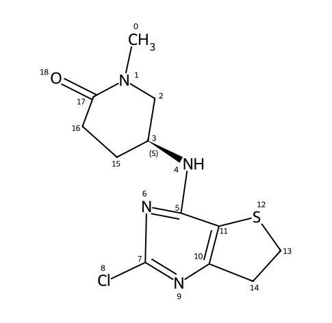 CN1C[C@@H](Nc2nc(Cl)nc3c2SCC3)CCC1=O